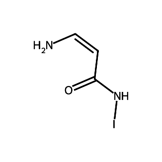 N/C=C\C(=O)NI